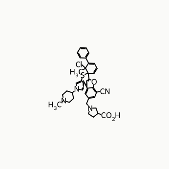 CN1CCC(n2cnc(SC3(c4nc5cc(CN6CCC(C(=O)O)C6)cc(C#N)c5o4)C=CC=C(c4ccccc4)C3(C)Cl)c2)CC1